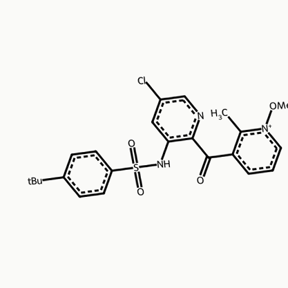 CO[n+]1cccc(C(=O)c2ncc(Cl)cc2NS(=O)(=O)c2ccc(C(C)(C)C)cc2)c1C